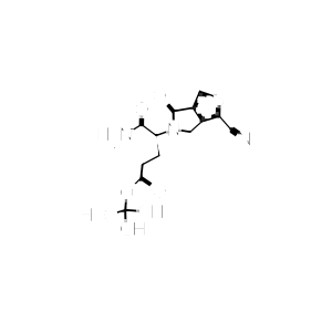 CC(C)(C)OC(=O)CC[C@@H](C(N)=O)N1Cc2c(csc2C#N)C1=O